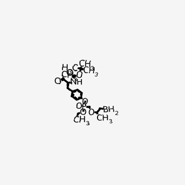 BCC(C)OCP(=O)(OCC)Oc1ccc(CC(NC(=O)OC(C)(C)C)C(C)=O)cc1